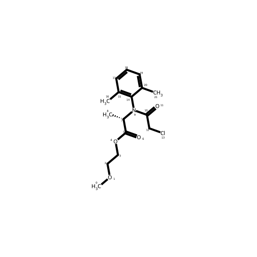 COCCOC(=O)[C@H](C)N(C(=O)CCl)c1c(C)cccc1C